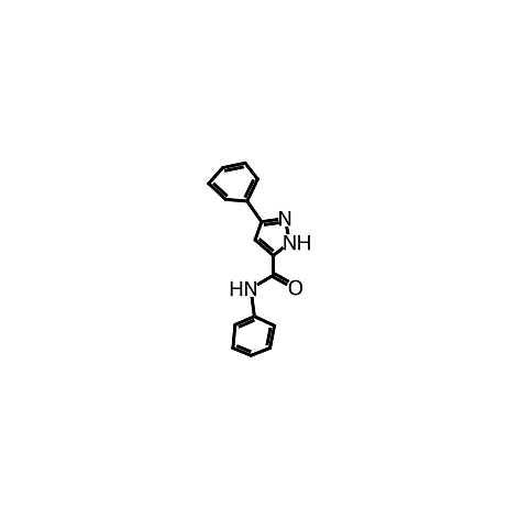 O=C(Nc1ccccc1)c1cc(-c2ccccc2)n[nH]1